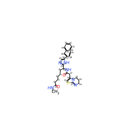 CNC(=O)CCCCCC(NC(=O)CC1=CSC2=NCCCN12)c1ncc(-c2ccc3ccccc3c2)[nH]1